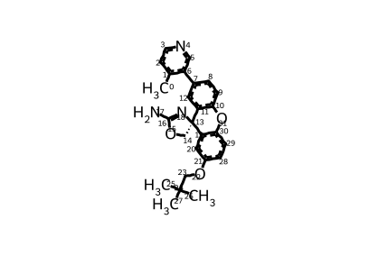 Cc1ccncc1-c1ccc2c(c1)[C@@]1(COC(N)=N1)c1cc(OCC(C)(C)C)ccc1O2